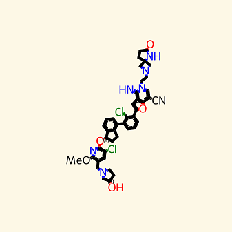 COc1nc(O[C@H]2CCc3c(-c4cccc(-c5cc6c(=N)n(CCN7CC8(CCC(=O)N8)C7)cc(C#N)c6o5)c4Cl)cccc32)c(Cl)cc1CN1CC[C@@H](O)C1